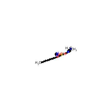 CCCCCCCCCCCCCCCCCCOCC(C[S+]([O-])CCOCCN1C=CC(N(C)C)=CC1)Oc1ncccn1